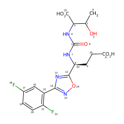 CC(O)C(NC(=O)N[C@@H](CCC(=O)O)c1nc(-c2cc(F)ccc2F)no1)C(=O)O